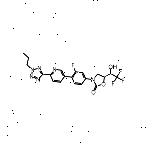 CCCn1nnc(-c2ccc(-c3ccc(N4C[C@@H](C(O)C(F)(F)F)OC4=O)cc3F)cn2)n1